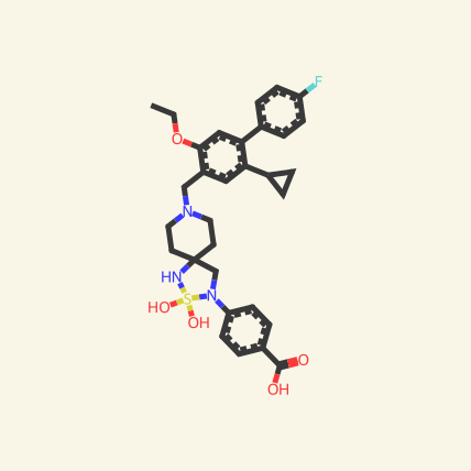 CCOc1cc(-c2ccc(F)cc2)c(C2CC2)cc1CN1CCC2(CC1)CN(c1ccc(C(=O)O)cc1)S(O)(O)N2